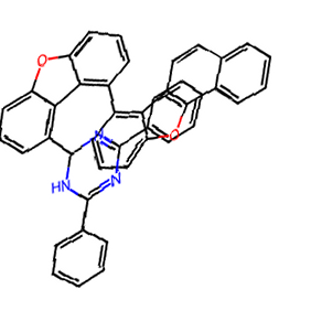 c1ccc(C2=NC(c3cccc4oc5cccc(-c6cccc7oc8c9ccccc9ccc8c67)c5c34)NC(c3ccccc3)=N2)cc1